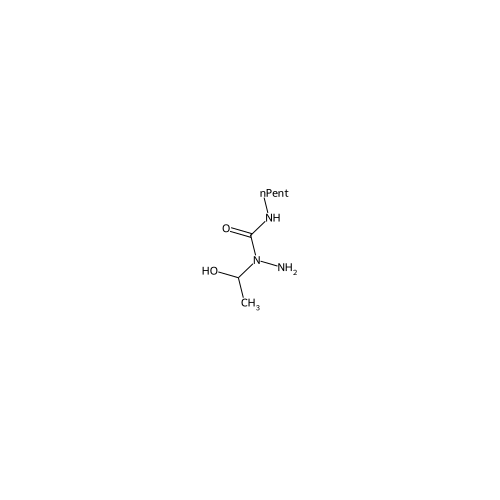 CCCCCNC(=O)N(N)C(C)O